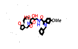 CC/C=C\C[C@H]1C(=O)CC[C@@H]1Cc1nc2c(o1)OC(CNC(=O)c1cn(Cc3ccccc3)c3cc(OC)ccc13)C(O)C2O